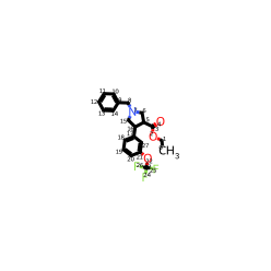 CCOC(=O)C1CN(Cc2ccccc2)CC1c1cccc(OC(F)(F)F)c1